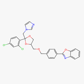 Clc1ccc(C2(Cn3ccnc3)OCC(COCc3ccc(-c4nc5ccccc5o4)cc3)O2)c(Cl)c1